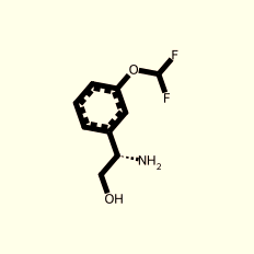 N[C@H](CO)c1cccc(OC(F)F)c1